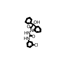 O=C(NNC(=O)C(O)(c1ccccc1)c1ccccc1)Nc1cccc(Cl)c1